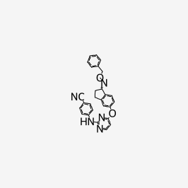 N#Cc1ccc(Nc2nccc(Oc3ccc4c(c3)CC/C4=N\OCc3ccccc3)n2)cc1